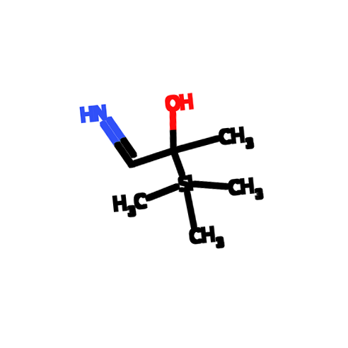 CC(O)(C=N)[Si](C)(C)C